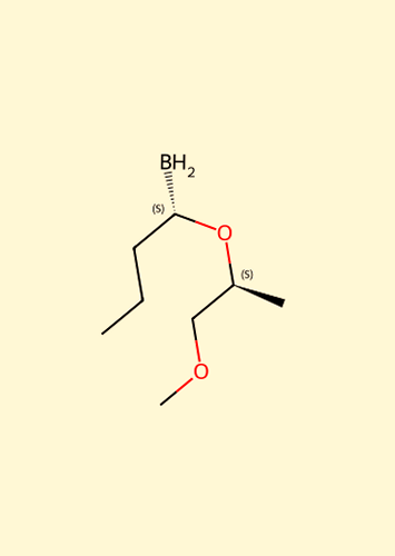 B[C@@H](CCC)O[C@@H](C)COC